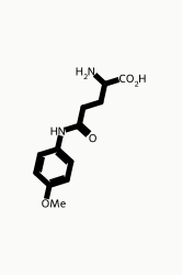 COc1ccc(NC(=O)CCC(N)C(=O)O)cc1